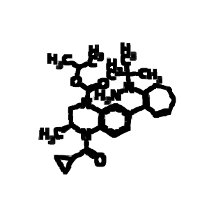 CC(C)OC(=O)N1C[C@H](C)N(C(=O)C2CC2)c2ccc(C3=C(N(N)C(C)(C)C)CCCC=C3)cc21